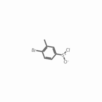 Cc1cc([S+]([O-])Cl)ccc1Br